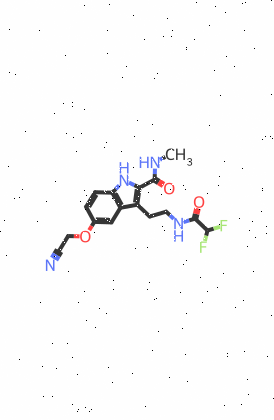 CNC(=O)c1[nH]c2ccc(OCC#N)cc2c1CCNC(=O)C(F)F